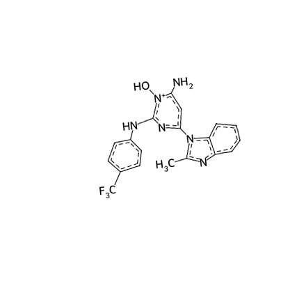 Cc1nc2ccccc2n1-c1cc(N)[n+](O)c(Nc2ccc(C(F)(F)F)cc2)n1